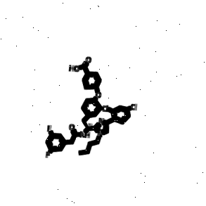 CCCCn1cc(-c2ccc(Cl)cc2Cl)nc1[C@H](Cc1ccc(Oc2ccc(C(=O)O)cc2)cc1)NC(=O)Cc1cc(F)cc(F)c1